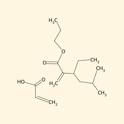 C=C(C(=O)OCCC)C(CC)CC(C)C.C=CC(=O)O